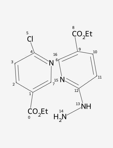 CCOC(=O)c1ccc(Cl)nc1.CCOC(=O)c1ccc(NN)nc1